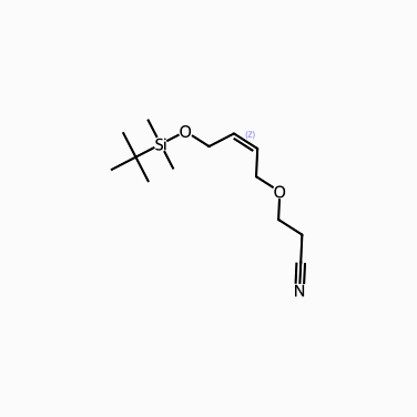 CC(C)(C)[Si](C)(C)OC/C=C\COCCC#N